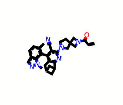 C=CC(=O)N1CC2(CCN(c3nc4c(c(-c5c(C)ccc6cnn(C)c56)c3C#N)CC3CC4C3)C2)C1